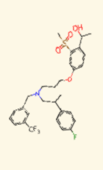 CC(O)c1ccc(OCCCN(Cc2cccc(C(F)(F)F)c2)CC(C)c2ccc(F)cc2)cc1S(C)(=O)=O